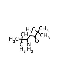 CC(C)(C)C(=O)CC(N)C(C)(C)C